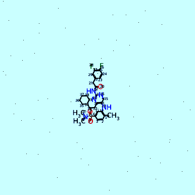 Cc1ccc(S(=O)(=O)N(C)C)cc1Nc1cnc(NC(=O)Cc2ccc(F)c(F)c2)nc1CCC1CCCCC1